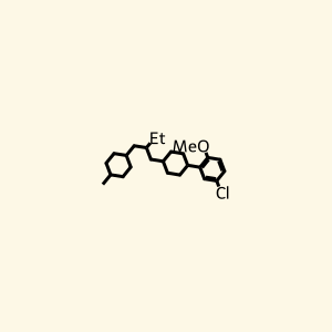 CCC(CC1CCC(C)CC1)CC1CCC(c2cc(Cl)ccc2OC)CC1